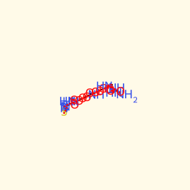 CSCc1cn(CCCCC(NC(C)=O)C(=O)NCCOCCOCCOCCC(=O)NCCOCCOCCOCCC(=O)NC(C(=O)NC(CCCNC(N)=O)C(=O)C(C)C)C(C)C)nn1